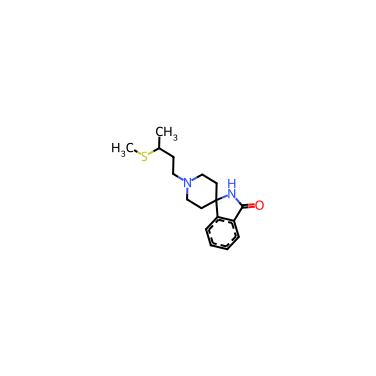 CSC(C)CCN1CCC2(CC1)NC(=O)c1ccccc12